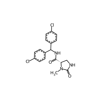 CN1C(=O)NC[C@H]1C(=O)NC(c1ccc(Cl)cc1)c1ccc(Cl)cc1